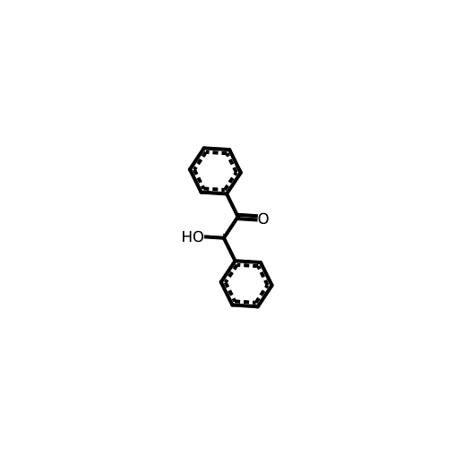 O=C([C](O)c1ccccc1)c1ccccc1